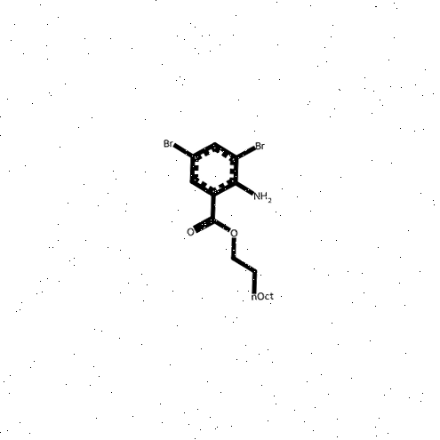 CCCCCCCCCCOC(=O)c1cc(Br)cc(Br)c1N